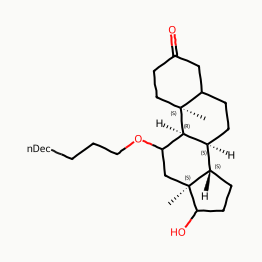 CCCCCCCCCCCCCOC1C[C@]2(C)C(O)CC[C@H]2[C@@H]2CCC3CC(=O)CC[C@]3(C)[C@H]12